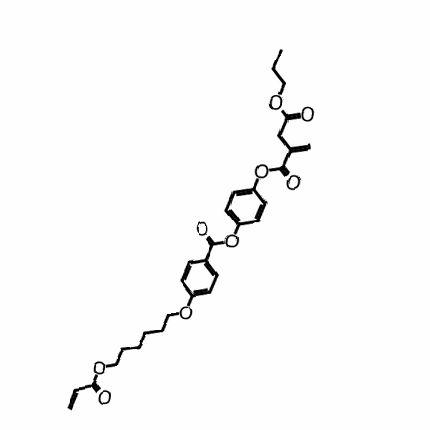 C=CC(=O)OCCCCCCOc1ccc(C(=O)Oc2ccc(OC(=O)C(=C)CC(=O)OCCC)cc2)cc1